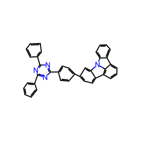 c1ccc(-c2nc(-c3ccccc3)nc(-c3ccc(-c4ccc5c6cccc7c8ccccc8n(c5c4)c76)cc3)n2)cc1